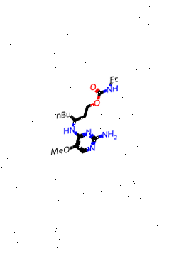 CCCCC(CCOC(=O)NCC)Nc1nc(N)ncc1OC